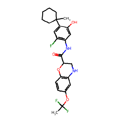 CC(F)(F)Oc1ccc2c(c1)NCC(C(=O)Nc1cc(O)c(C3(C)CCCCC3)cc1F)O2